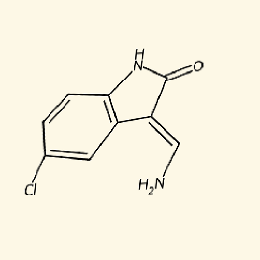 N/C=C1/C(=O)Nc2ccc(Cl)cc21